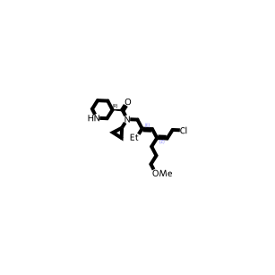 CC/C(=C\C(=C/CCl)CCCOC)CN(C(=O)[C@@H]1CCCNC1)C1CC1